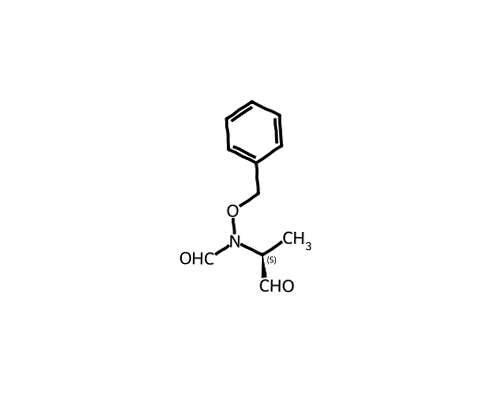 C[C@@H](C=O)N(C=O)OCc1ccccc1